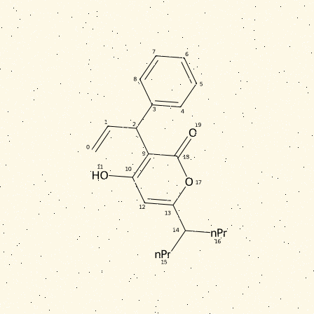 C=CC(c1ccccc1)c1c(O)cc(C(CCC)CCC)oc1=O